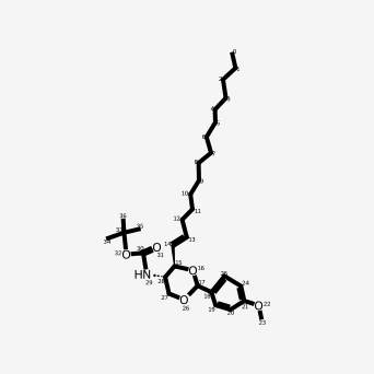 CCCCCCCCCCCCC/C=C/[C@H]1OC(c2ccc(OC)cc2)OC[C@@H]1NC(=O)OC(C)(C)C